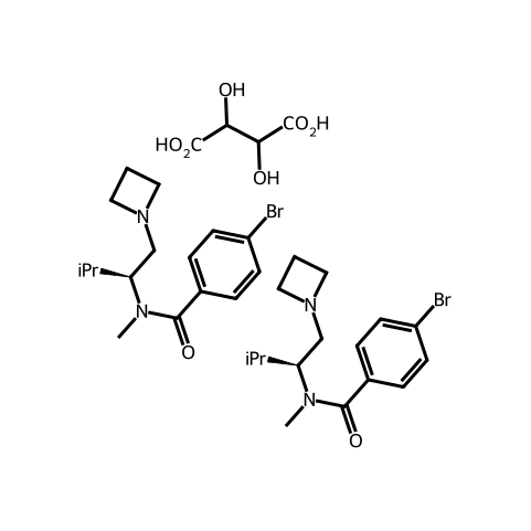 CC(C)[C@@H](CN1CCC1)N(C)C(=O)c1ccc(Br)cc1.CC(C)[C@@H](CN1CCC1)N(C)C(=O)c1ccc(Br)cc1.O=C(O)C(O)C(O)C(=O)O